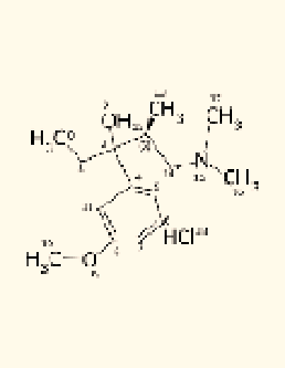 CCC(O)(c1cccc(OC)c1)[C@@H](C)[CH]N(C)C.Cl